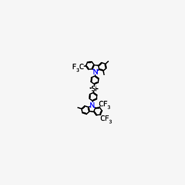 Cc1cc(C)c2c(c1)c1ccc(C(F)(F)F)cc1n2-c1ccc([Si](C)(C)c2ccc(-n3c4cc(C)ccc4c4cc(C(F)(F)F)cc(C(F)(F)F)c43)cc2)cc1